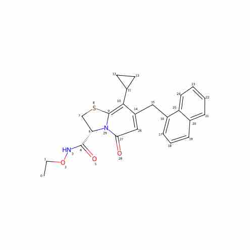 CCONC(=O)[C@@H]1CSc2c(C3CC3)c(Cc3cccc4ccccc34)cc(=O)n21